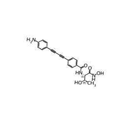 C[C@@H](O)[C@H](NC(=O)c1ccc(C#CC#Cc2ccc(N)cc2)cc1)C(=O)NO